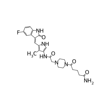 Cc1c(NC(=O)CN2CCN(C(=O)CCCC(N)=O)CC2)c[nH]c1C=C1C(=O)Nc2ccc(F)cc21